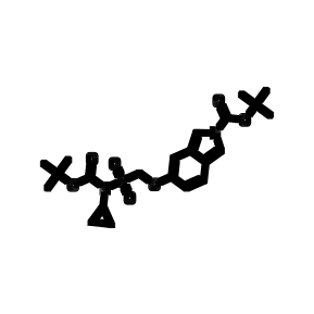 CC(C)(C)OC(=O)N(C1CC1)S(=O)(=O)COc1ccc2cn(C(=O)OC(C)(C)C)cc2c1